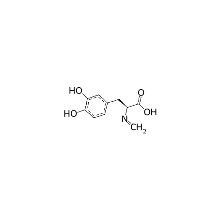 C=N[C@@H](Cc1ccc(O)c(O)c1)C(=O)O